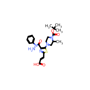 CC1CN(c2sc(C=CC(=O)O)nc2C(=O)N(N)c2ccccc2)CCN1C(=O)OC(C)(C)C